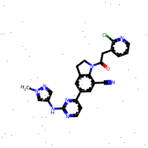 Cn1cc(Nc2nccc(-c3cc(C#N)c4c(c3)CCN4C(=O)Cc3cccnc3Cl)n2)cn1